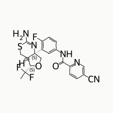 CC(F)(F)[C@H]1OC[C@]2(c3cc(NC(=O)c4ccc(C#N)cn4)ccc3F)N=C(N)SC[C@H]12